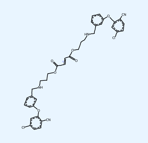 N#Cc1ccc(Cl)cc1Oc1cccc(CNCCCOC(=O)/C=C/C(=O)OCCCNCc2cccc(Oc3cc(Cl)ccc3C#N)c2)c1